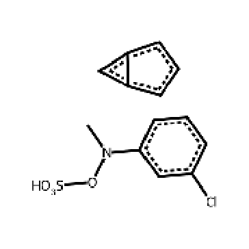 CN(OS(=O)(=O)O)c1cccc(Cl)c1.c1cc2cc-2c1